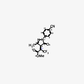 COC(=O)/C(=C1/C(=O)N(c2ccc(C#N)cc2)N=C1C)C(F)(F)F